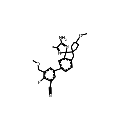 COCc1cc(-c2ccc3c(c2)C2(N=C(C)C(N)=N2)C2(CCC(OC)CC2)C3)cc(C#N)c1F